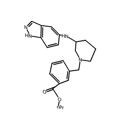 CCCOC(=O)c1cccc(CN2CCCC(Nc3ccc4[nH]ncc4c3)C2)c1